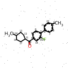 Cc1ccc(-c2ccc(C(=O)C3CCC(C)CC3)cc2F)cc1